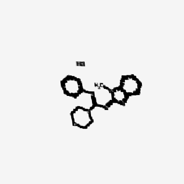 Cl.Cn1c(=NC(=Nc2ccccc2)N2CCOCC2)sc2ccccc21